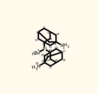 CCCCP(C12CC3CC(CC(N)(C3)C1)C2)C12CC3CC(CC(N)(C3)C1)C2